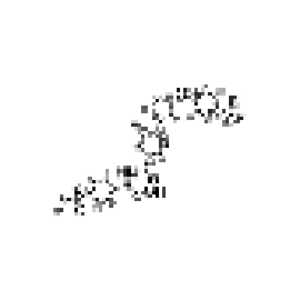 CCS(=O)(=O)c1ccc([C@H](CO)NC(=O)c2cnc(N3CCC(Oc4ccc(C(F)(F)F)cc4)C3)c(F)c2)cc1